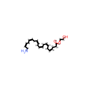 NC/C=C\C/C=C\C/C=C\C/C=C\C/C=C\C/C=C\CCC(=O)OCCO